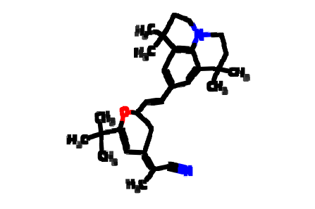 C/C(C#N)=C1\C=C(C(C)(C)C)OC(/C=C/c2cc3c4c(c2)C(C)(C)CCN4CCC3(C)C)C1